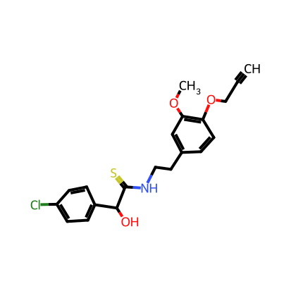 C#CCOc1ccc(CCNC(=S)C(O)c2ccc(Cl)cc2)cc1OC